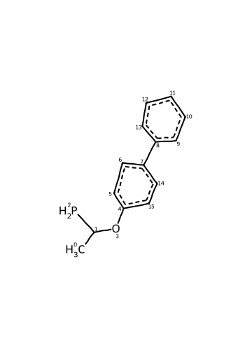 CC(P)Oc1ccc(-c2ccccc2)cc1